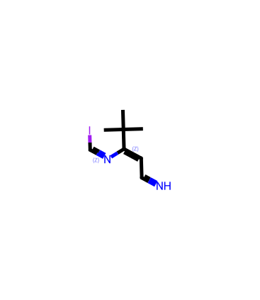 CC(C)(C)C(=C/C=N)/N=C\I